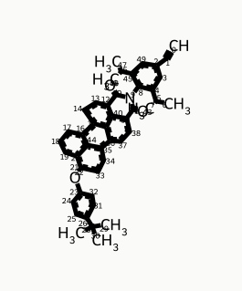 C#Cc1cc(C(C)C)c(N2C(=O)c3ccc4c5cccc6c(Oc7ccc(C(C)(C)C)cc7)ccc(c7ccc(c3c47)C2=O)c65)c(C(C)C)c1